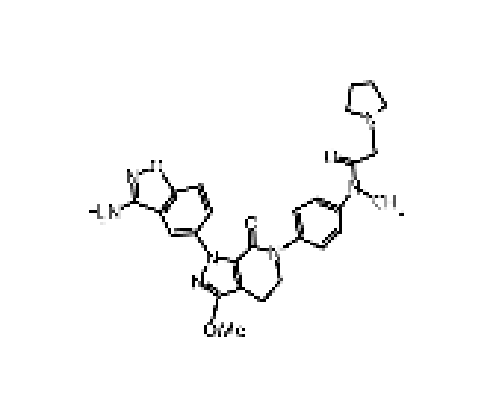 COc1nn(-c2ccc3onc(N)c3c2)c2c1CCN(c1ccc(N(C)C(=O)CN3CCCC3)cc1)C2=O